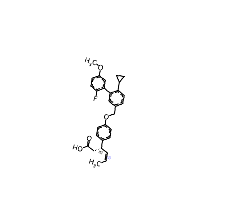 C/C=C\[C@H](CC(=O)O)c1ccc(OCc2ccc(C3CC3)c(-c3cc(OC)ccc3F)c2)cc1